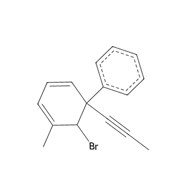 CC#CC1(c2ccccc2)C=CC=C(C)C1Br